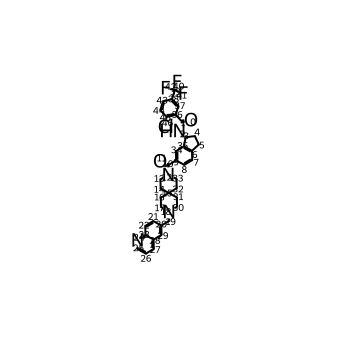 O=C(NC1CCc2ccc(C(=O)N3CCC4(CCN(Cc5ccc6ncccc6c5)CC4)CC3)cc21)c1cc(C(F)(F)F)ccc1Cl